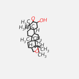 CC1(C)CC[C@]23CC[C@]4(C)[C@H](CC[C@@H]5[C@@]6(C)CC(O)C(=O)C(C)(C)[C@@H]6CC[C@]54C)[C@H]2[C@H]1OC3